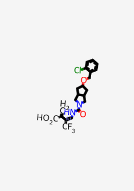 C=C(C(=O)O)/C(=C\NC(=O)N1CC2CC(OCc3ccccc3Cl)CC2C1)C(F)(F)F